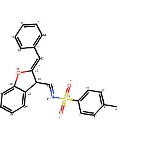 Cc1ccc(S(=O)(=O)N=CC2/C(=C/c3ccccc3)Oc3ccccc32)cc1